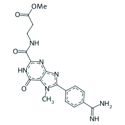 COC(=O)CCNC(=O)c1nc2nc(-c3ccc(C(=N)N)cc3)n(C)c2c(=O)[nH]1